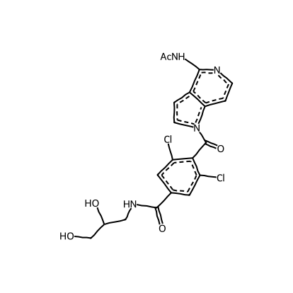 CC(=O)Nc1nccc2c1ccn2C(=O)c1c(Cl)cc(C(=O)NCC(O)CO)cc1Cl